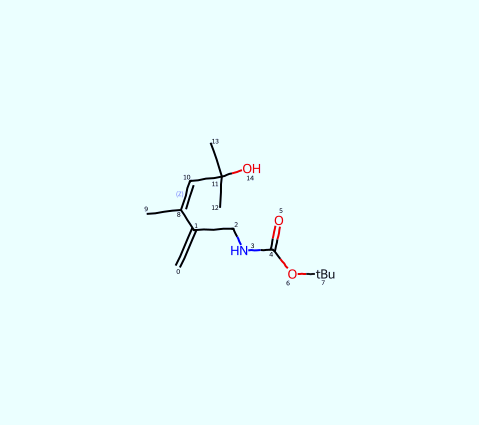 C=C(CNC(=O)OC(C)(C)C)/C(C)=C\C(C)(C)O